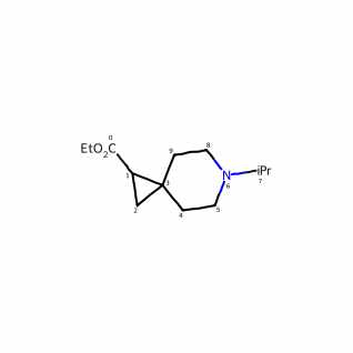 CCOC(=O)C1CC12CCN(C(C)C)CC2